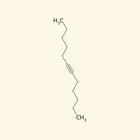 CCCC[CH]C#CCCCCC